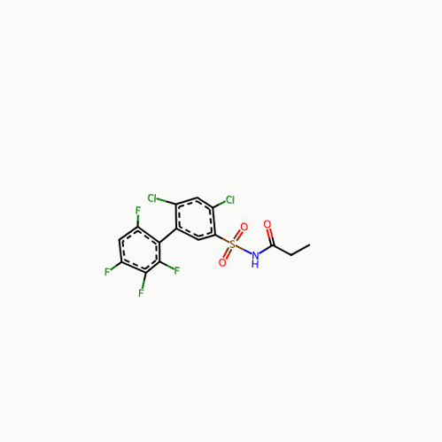 CCC(=O)NS(=O)(=O)c1cc(-c2c(F)cc(F)c(F)c2F)c(Cl)cc1Cl